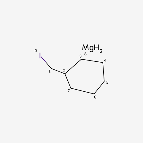 ICC1CCCCC1.[MgH2]